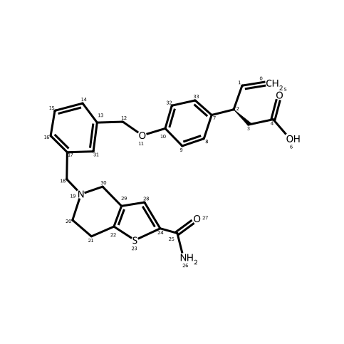 C=C[C@@H](CC(=O)O)c1ccc(OCc2cccc(CN3CCc4sc(C(N)=O)cc4C3)c2)cc1